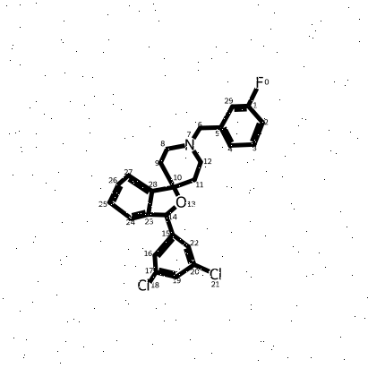 Fc1cccc(CN2CCC3(CC2)OC(c2cc(Cl)cc(Cl)c2)c2ccccc23)c1